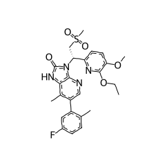 CCOc1nc([C@@H](CS(C)(=O)=O)n2c(=O)[nH]c3c(C)c(-c4cc(F)ccc4C)cnc32)ccc1OC